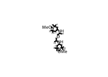 CON1C(C)(C)CC(NC(C)COCC(C)NC2CC(C)(C)N(OC)C(C)(C)C2)CC1(C)C